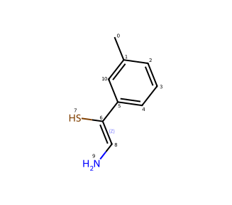 Cc1cccc(/C(S)=C/N)c1